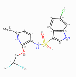 COc1ccc(NS(=O)(=O)c2c[nH]c3cc(Cl)ccc23)c(OCC(F)F)n1